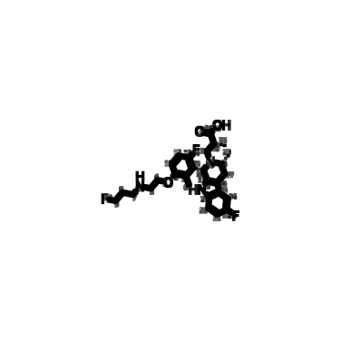 Cc1c(OCCNCCCF)ccc(F)c1[C@H]1c2[nH]c3ccc(F)cc3c2C[C@@H](C)N1C[C@@H](C)C(=O)O